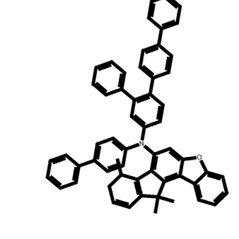 CC1CC=CC2=C1c1c(N(c3ccc(-c4ccccc4)cc3)c3ccc(-c4ccc(-c5ccccc5)cc4)c(-c4ccccc4)c3)cc3oc4ccccc4c3c1C2(C)C